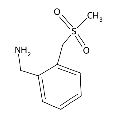 CS(=O)(=O)Cc1ccccc1CN